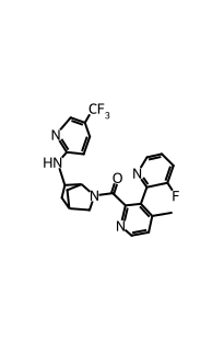 Cc1ccnc(C(=O)N2CC3CC(Nc4ccc(C(F)(F)F)cn4)C2C3)c1-c1ncccc1F